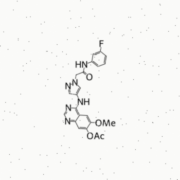 COc1cc2c(Nc3cnn(CC(=O)Nc4cccc(F)c4)c3)ncnc2cc1OC(C)=O